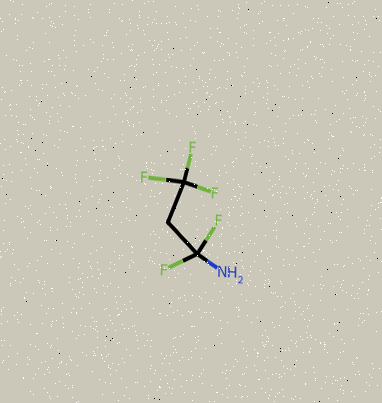 NC(F)(F)CC(F)(F)F